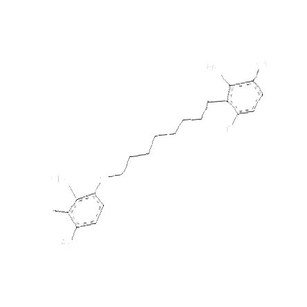 CCCc1c(OCCCCCCCCc2c(F)ccc(O)c2O)ccc(C(C)=O)c1O